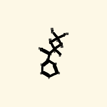 CC1(C(=O)c2ccccc2)OC(F)(F)O1